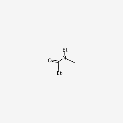 C[CH]C(=O)N(C)CC